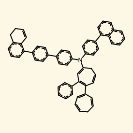 C1=CCC=CC(C2=C(c3ccccc3)C=C(N(c3ccc(-c4ccc(-c5cccc6c5C=CCC6)cc4)cc3)c3ccc(-c4cccc5ccccc45)cc3)CC=C2)=C1